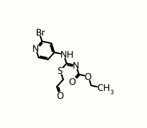 CCOC(=O)/N=C(/Nc1ccnc(Br)c1)SCC=O